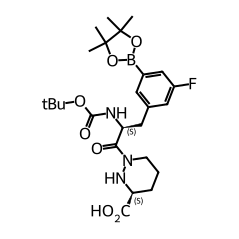 CC(C)(C)OC(=O)N[C@@H](Cc1cc(F)cc(B2OC(C)(C)C(C)(C)O2)c1)C(=O)N1CCC[C@@H](C(=O)O)N1